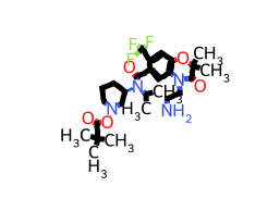 CC(C)N(C(=O)c1cc2c(cc1C(F)(F)F)OC(C)(C)C(=O)N2CCN)[C@@H]1CCCN(OC(=O)C(C)(C)C)C1